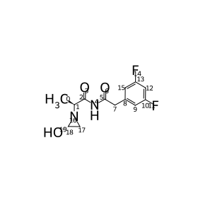 C[C@@H](C(=O)NC(=O)Cc1cc(F)cc(F)c1)N1C[C@@H]1O